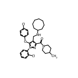 CC1CCN(C(=O)c2nn(-c3ccccc3Cl)c(Oc3ccc(Cl)cc3)c2CNC2CCCCCCC2)CC1